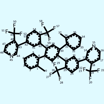 Cc1ccccc1-c1cc(-c2cc(-c3cnccc3C(F)(F)F)ccc2C(F)(F)F)c(-c2ccccc2C)cc1-c1cc(-c2cnccc2C(F)(F)F)ccc1C(F)(F)F